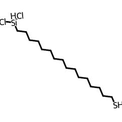 SCCCCCCCCCCCCCCCC[SiH](Cl)Cl